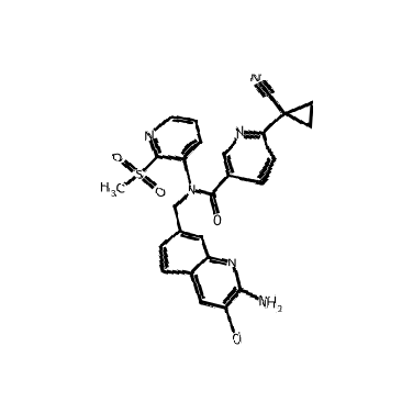 CS(=O)(=O)c1ncccc1N(Cc1ccc2cc(Cl)c(N)nc2c1)C(=O)c1ccc(C2(C#N)CC2)nc1